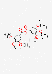 COc1cc(C(=O)OC(=O)c2cc(OC)c(OC)c(OC)c2)cc(OC)c1OC